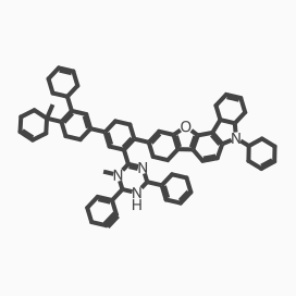 CN1C(C2=C(C3=Cc4oc5c6c(ccc5c4CC3)N(C3CC=CCC3)C3CC=CCC63)CCC(C3=CC(C4CC=CCC4)=C(C4(C)CC=CCC4)CC3)=C2)=NC(C2=CC=CCC2)NC1C1=CCCC#C1